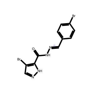 O=C(N/N=C/c1ccc(Br)cc1)c1[nH]ncc1Br